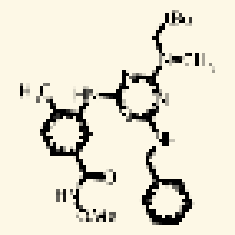 CONC(=O)c1ccc(C)c(Nc2nc(NCc3ccccc3)nc(N(C)CC(C)(C)C)n2)c1